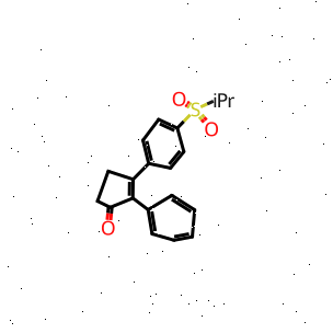 CC(C)S(=O)(=O)c1ccc(C2=C(c3ccccc3)C(=O)CC2)cc1